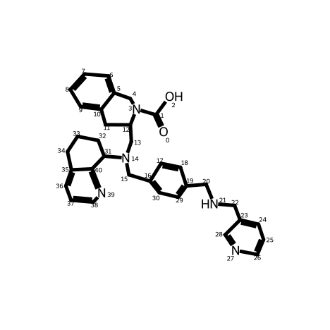 O=C(O)N1Cc2ccccc2CC1CN(Cc1ccc(CNCc2cccnc2)cc1)C1CCCc2cccnc21